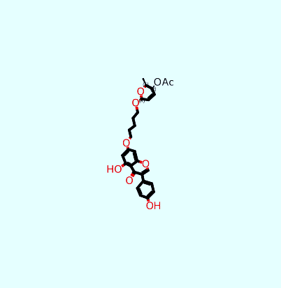 CC(=O)O[C@@H]1C=C[C@H](OCCCCCOc2cc(O)c3c(=O)c(-c4ccc(O)cc4)coc3c2)O[C@H]1C